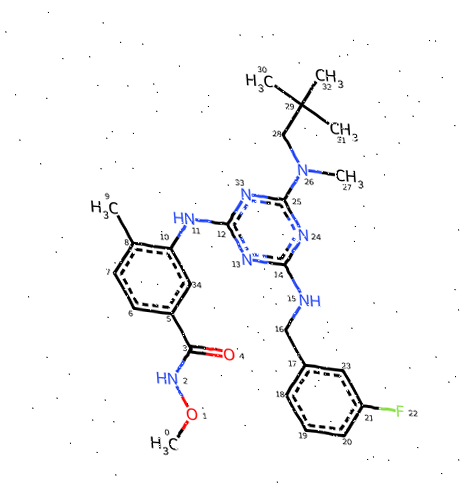 CONC(=O)c1ccc(C)c(Nc2nc(NCc3cccc(F)c3)nc(N(C)CC(C)(C)C)n2)c1